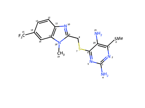 CSc1nc(N)nc(SCc2nc3ccc(C(F)(F)F)cc3n2C)c1N